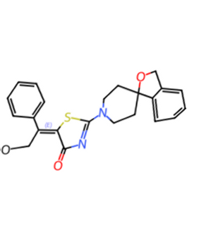 COC/C(=C1/SC(N2CCC3(CC2)OCc2ccccc23)=NC1=O)c1ccccc1